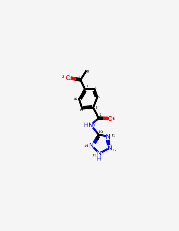 CC(=O)c1ccc(C(=O)Nc2nn[nH]n2)cc1